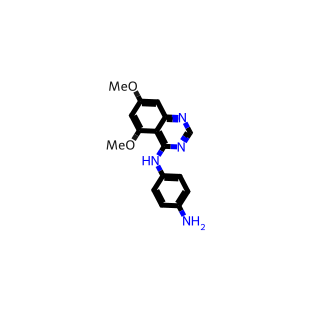 COc1cc(OC)c2c(Nc3ccc(N)cc3)ncnc2c1